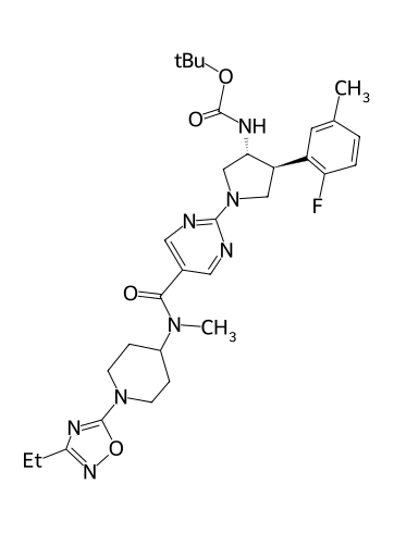 CCc1noc(N2CCC(N(C)C(=O)c3cnc(N4C[C@H](NC(=O)OC(C)(C)C)[C@@H](c5cc(C)ccc5F)C4)nc3)CC2)n1